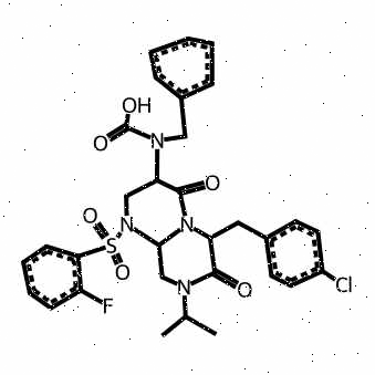 CC(C)N1CC2N(C(=O)C(N(Cc3ccccc3)C(=O)O)CN2S(=O)(=O)c2ccccc2F)C(Cc2ccc(Cl)cc2)C1=O